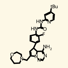 CC(C)(C)c1ccnc(NC(=O)Nc2ccc(C3C=C(CN4CCCOCC4)N4N=CN=C(N)C34)cc2F)c1